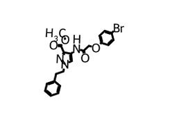 COC(=O)c1nn(CCc2ccccc2)cc1NC(=O)COc1ccc(Br)cc1